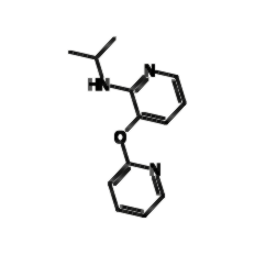 CC(C)Nc1ncccc1Oc1ccccn1